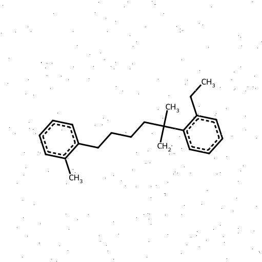 [CH2]C(C)(CCCCc1ccccc1C)c1ccccc1CC